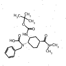 CN(C)C(=O)[C@H]1CC[C@H](N(Cc2ccccc2)C(=O)O)[C@H](NC(=O)OC(C)(C)C)C1